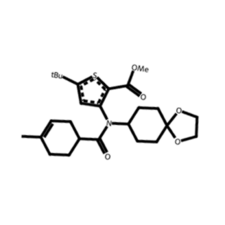 COC(=O)c1sc(C(C)(C)C)cc1N(C(=O)C1CC=C(C)CC1)C1CCC2(CC1)OCCO2